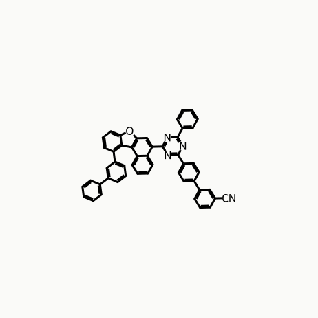 N#Cc1cccc(-c2ccc(-c3nc(-c4ccccc4)nc(-c4cc5oc6cccc(-c7cccc(-c8ccccc8)c7)c6c5c5ccccc45)n3)cc2)c1